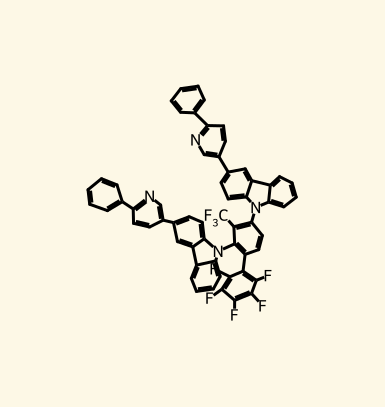 Fc1c(F)c(F)c(-c2ccc(-n3c4ccccc4c4cc(-c5ccc(-c6ccccc6)nc5)ccc43)c(C(F)(F)F)c2-n2c3ccccc3c3cc(-c4ccc(-c5ccccc5)nc4)ccc32)c(F)c1F